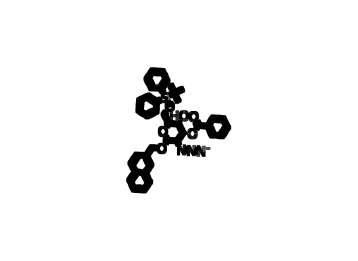 CC(C)(C)[Si](OCC1OC(OCc2ccc3ccccc3c2)C(N=[N+]=[N-])[C@@H](OC(=O)c2ccccc2)[C@@H]1O)(c1ccccc1)c1ccccc1